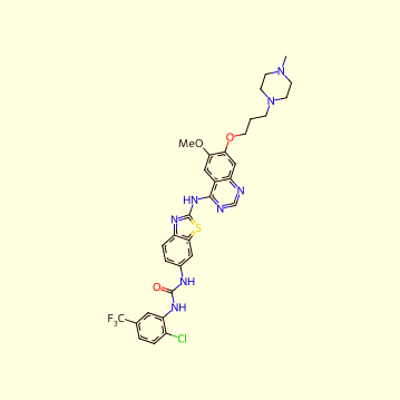 COc1cc2c(Nc3nc4ccc(NC(=O)Nc5cc(C(F)(F)F)ccc5Cl)cc4s3)ncnc2cc1OCCCN1CCN(C)CC1